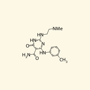 CNCCNc1nc(Nc2cccc(C)c2)c(C(N)=O)c(=O)[nH]1